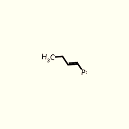 CCC=C[P]